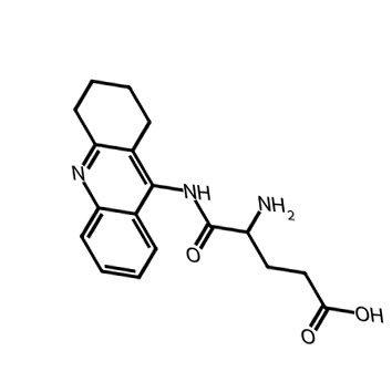 NC(CCC(=O)O)C(=O)Nc1c2c(nc3ccccc13)CCCC2